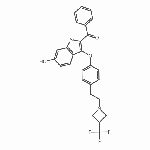 O=C(c1ccccc1)c1sc2cc(O)ccc2c1Oc1ccc(CCN2CC(C(F)(F)F)C2)cc1